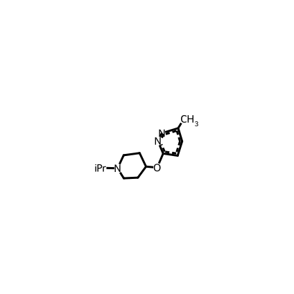 Cc1ccc(OC2CCN(C(C)C)CC2)nn1